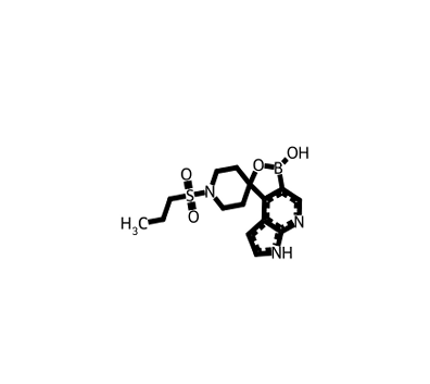 CCCS(=O)(=O)N1CCC2(CC1)OB(O)c1cnc3[nH]ccc3c12